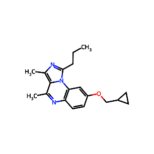 CCCc1nc(C)c2c(C)nc3ccc(OCC4CC4)cc3n12